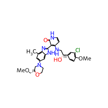 COC[C@@H]1CN(c2cc(C)c3nc(-c4c(NC[C@@H](O)c5ccc(OC)c(Cl)c5)cc[nH]c4=O)[nH]c3c2)CCO1